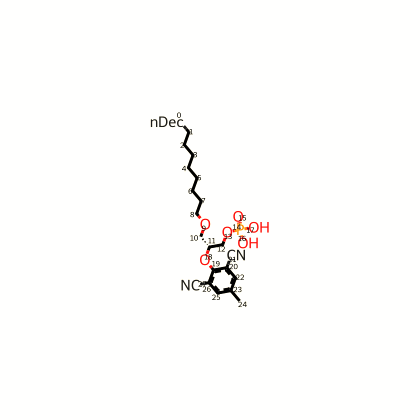 CCCCCCCCCCCCCCCCCCOC[C@H](COP(=O)(O)O)Oc1c(C#N)cc(C)cc1C#N